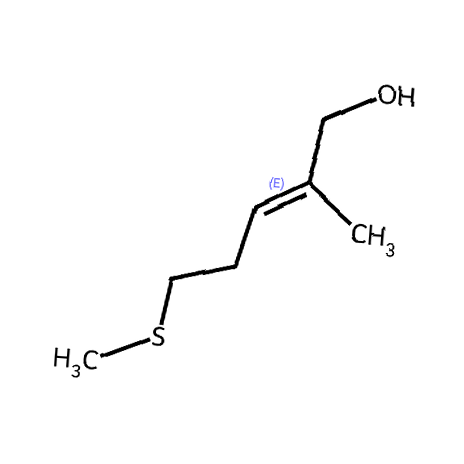 CSCC/C=C(\C)CO